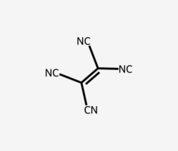 [C-]#[N+]C(C#N)=C(C#N)C#N